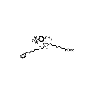 CCCCCCCCCCCCCCCCCC1OCC(COCCCCCC[n+]2ccsc2)O1.Cc1ccc(S(=O)(=O)[O-])cc1